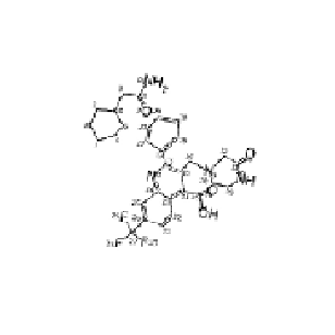 NC(=O)CC1CCCCC1.O=C1CN(Cc2c(-c3ccccc3)nc3cc(C(F)(F)F)ccc3c2C(=O)O)CCN1